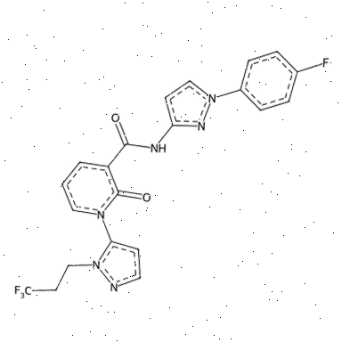 O=C(Nc1ccn(-c2ccc(F)cc2)n1)c1cccn(-c2ccnn2CCC(F)(F)F)c1=O